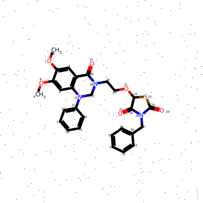 COc1cc2c(cc1OC)N(c1ccccc1)CN(CCOC1SC(=O)N(Cc3ccccc3)C1=O)C2=O